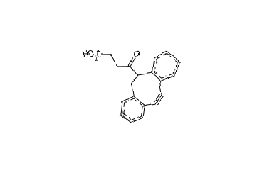 O=C(O)CCC(=O)C1Cc2ccccc2C#Cc2ccccc21